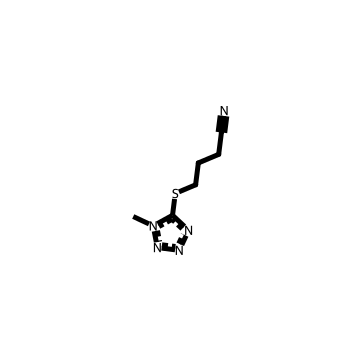 Cn1nnnc1SCCCC#N